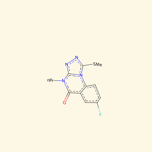 CCCn1c(=O)c2cc(F)ccc2n2c(SC)nnc12